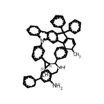 CC1C=CC2=C(C1)c1cc3c(cc1C2(c1ccccc1)c1ccccc1)c1ccccc1n3-c1cccc(C2[C@@H](C(NCc3ccc(-c4ccccc4)cc3N)c3ccccc3)[C@H]2C)c1